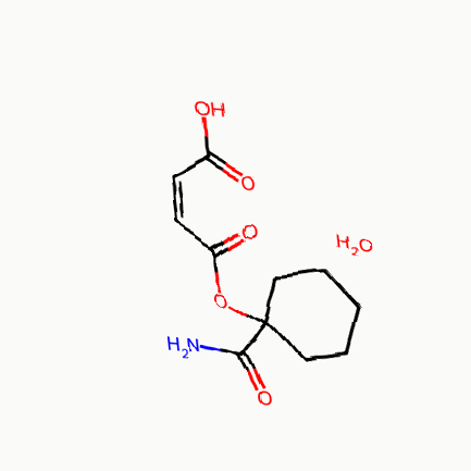 NC(=O)C1(OC(=O)/C=C\C(=O)O)CCCCC1.O